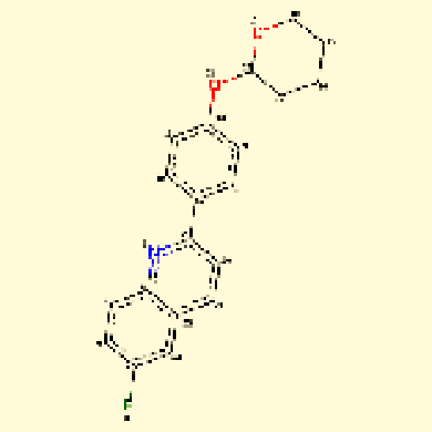 Fc1ccc2nc(-c3ccc(OC4CCCCO4)cc3)ccc2c1